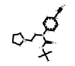 CC(C)(C)OC(=O)N(CCN1CCCC1)c1ccc(C#N)cc1